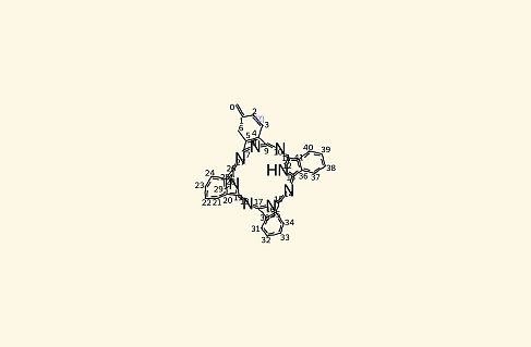 C=C/C=C\C1=C(C)c2nc1nc1[nH]c(nc3nc(nc4c5ccccc5c(n2)n4C)-c2ccccc2-3)c2ccccc12